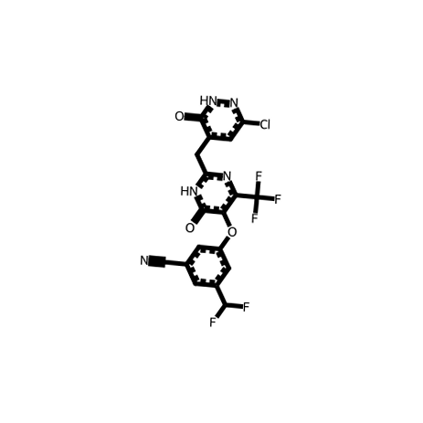 N#Cc1cc(Oc2c(C(F)(F)F)nc(Cc3cc(Cl)n[nH]c3=O)[nH]c2=O)cc(C(F)F)c1